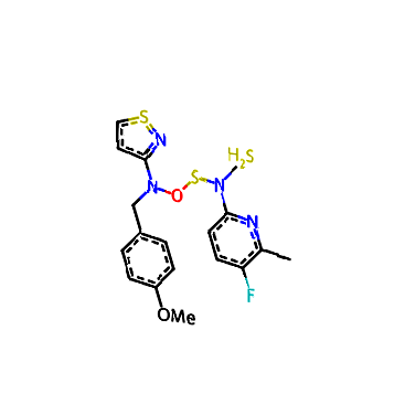 COc1ccc(CN(OSN(C)c2ccc(F)c(C)n2)c2ccsn2)cc1.S